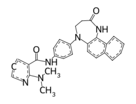 CN(C)c1ncccc1C(=O)Nc1ccc(N2CCC(=O)Nc3c2ccc2ccccc32)cc1